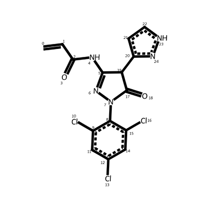 C=CC(=O)NC1=NN(c2c(Cl)cc(Cl)cc2Cl)C(=O)C1c1cc[nH]n1